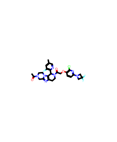 CC(=O)N1CCn2c(nc3c2C(c2ncc(C)cc2F)N(C(=O)COc2ccc(N4CC(F)(F)C4)nc2Cl)CC3)C1